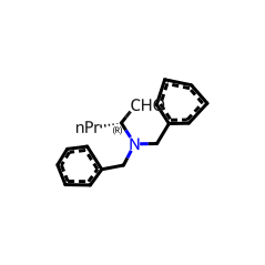 CCC[C@H](C=O)N(Cc1ccccc1)Cc1ccccc1